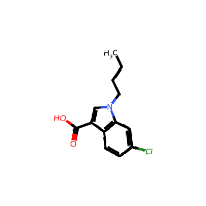 CCCCn1cc(C(=O)O)c2ccc(Cl)cc21